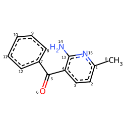 Cc1ccc(C(=O)c2ccccc2)c(N)n1